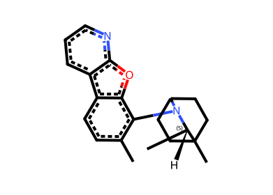 Cc1ccc2c(oc3ncccc32)c1N1C2CCC(C)(CC2)[C@@H]1C